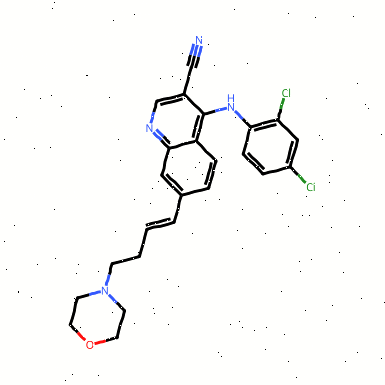 N#Cc1cnc2cc(C=CCCN3CCOCC3)ccc2c1Nc1ccc(Cl)cc1Cl